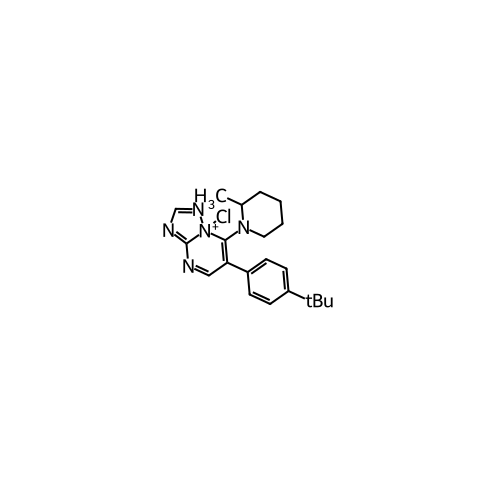 CC1CCCCN1C1=C(c2ccc(C(C)(C)C)cc2)C=NC2=NC=N[N+]21Cl